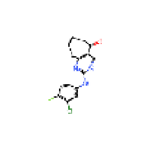 O=C1CCCCc2nc(Nc3ccc(F)c(Cl)c3)ncc21